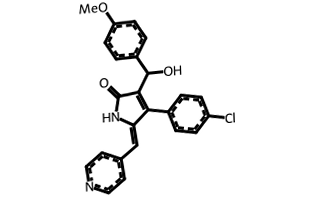 COc1ccc(C(O)C2=C(c3ccc(Cl)cc3)/C(=C/c3ccncc3)NC2=O)cc1